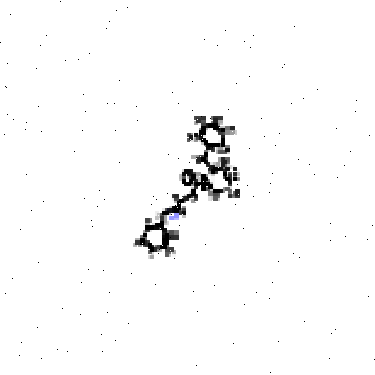 O=C(CC/C=C/c1ccccc1)N1CCOC[C@@H]1Cc1ccccc1